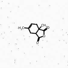 CC1=CCC2(C)C(=O)OC(=O)C2C1